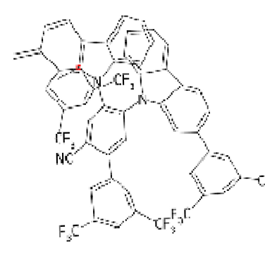 C=C(/C=C\c1c(C)n(-c2cc(C#N)c(-c3cc(C(F)(F)F)cc(C(F)(F)F)c3)cc2-n2c3ccccc3c3ccc(-c4cc(C(F)(F)F)cc(C(F)(F)F)c4)cc32)c2ccccc12)c1cc(C(F)(F)F)cc(C(F)(F)F)c1